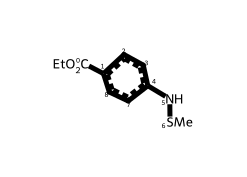 CCOC(=O)c1ccc(NSC)cc1